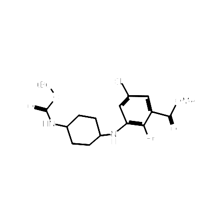 CCc1c(NC2CCC(NC(=O)OC(C)(C)C)CC2)cc(Cl)cc1C(=O)OC